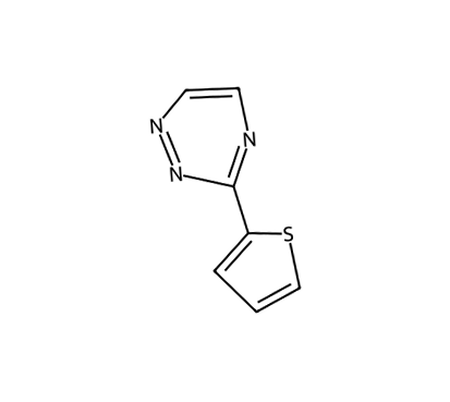 c1csc(-c2nccnn2)c1